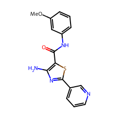 COc1cccc(NC(=O)c2sc(-c3cccnc3)nc2N)c1